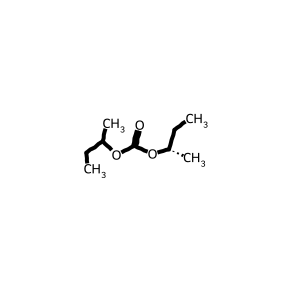 CCC(C)OC(=O)O[C@@H](C)CC